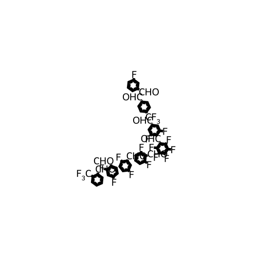 O=Cc1c(F)c(F)c(F)c(F)c1F.O=Cc1c(F)cccc1F.O=Cc1cc(F)cc(F)c1.O=Cc1cc(F)ccc1F.O=Cc1ccc(C(F)(F)F)cc1.O=Cc1ccc(F)cc1F.O=Cc1cccc(F)c1.O=Cc1ccccc1C(F)(F)F